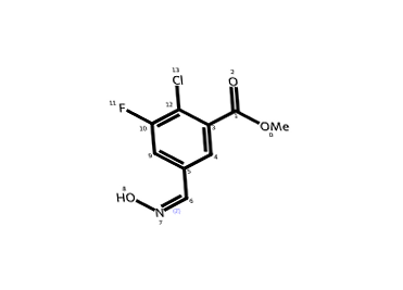 COC(=O)c1cc(/C=N\O)cc(F)c1Cl